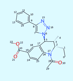 CC[C@H]1[C@@H](C)[C@H](n2cc(-c3ccccc3)nn2)c2cc(C(=O)OC)ccc2N1C(C)=O